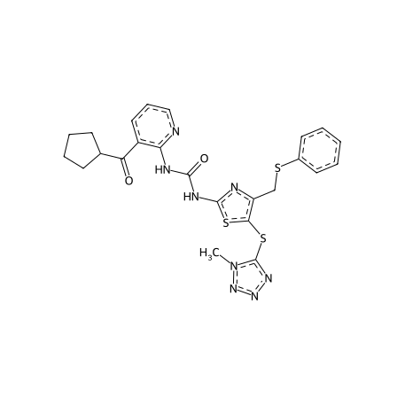 Cn1nnnc1Sc1sc(NC(=O)Nc2ncccc2C(=O)C2CCCC2)nc1CSc1ccccc1